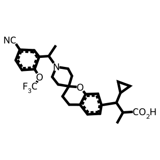 CC(C(=O)O)C(c1ccc2c(c1)OC1(CC2)CCN(C(C)c2cc(C#N)ccc2OC(F)(F)F)CC1)C1CC1